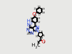 C=CC(=O)C1CCC(n2nc(-c3ccc(Oc4ccccc4)cc3)c3c(N)ncnc32)C1